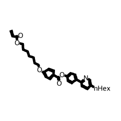 C=CC(=O)OCCCCCCCOc1ccc(C(=O)Oc2ccc(-c3ccc(CCCCCC)cn3)cc2)cc1